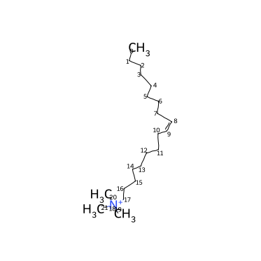 CCCCCCCC/C=C\CCCCCCCC[N+](C)(C)C